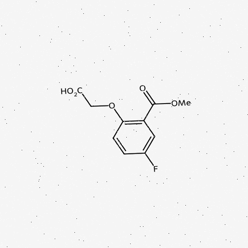 COC(=O)c1cc(F)ccc1OCC(=O)O